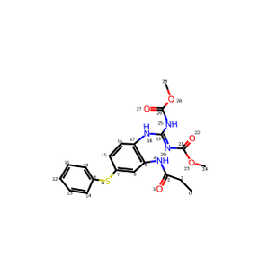 CCC(=O)Nc1cc(Sc2ccccc2)ccc1NC(=NC(=O)OC)NC(=O)OC